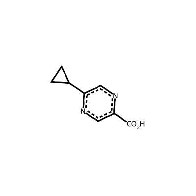 O=C(O)c1cnc(C2CC2)cn1